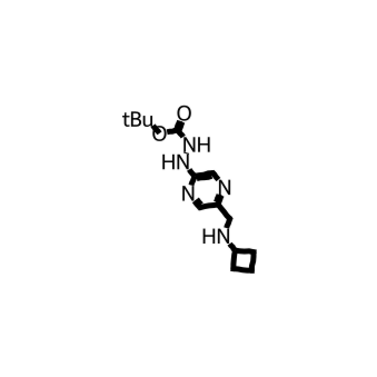 CC(C)(C)OC(=O)NNc1cnc(CNC2CCC2)cn1